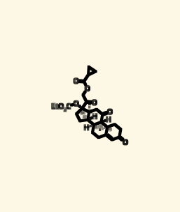 CCOC(=O)O[C@]1(C(=O)COC(=O)C2CC2)CC[C@H]2[C@@H]3CCC4=CC(=O)CC[C@]4(C)[C@H]3C(=O)C[C@@]21C